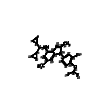 Cc1nc(NC(C2CC2)C2CC2)c2nc(C)n(-c3ccc(OC(F)F)c(F)c3)c2n1